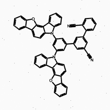 N#Cc1cc(-c2cc(-n3c4ccccc4c4c5oc6ccccc6c5ccc43)cc(-n3c4ccccc4c4c5oc6ccccc6c5ccc43)c2)cc(-c2ccccc2C#N)c1